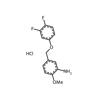 COc1ccc(COc2ccc(F)c(F)c2)cc1N.Cl